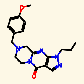 CCCn1ncc2c(=O)n3c(nc21)CN(Cc1ccc(OC)cc1)CC3